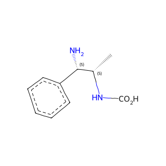 C[C@H](NC(=O)O)[C@@H](N)c1ccccc1